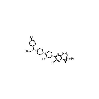 C=C(NCCC)c1nc(Cl)c(N2CCN(C3CCN([C@H](CO)c4ccc(Cl)cc4)CC3)[C@@H](CC)C2)nc1N